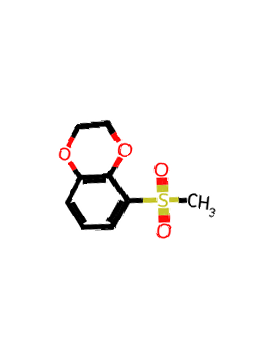 CS(=O)(=O)c1cccc2c1OCCO2